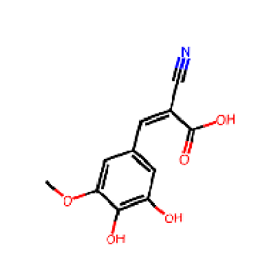 COc1cc(/C=C(/C#N)C(=O)O)cc(O)c1O